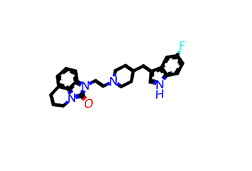 O=c1n(CCN2CCC(Cc3c[nH]c4ccc(F)cc34)CC2)c2cccc3c2n1CCC3